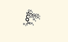 CC1=NC(=Cc2ccc(N(C)C)cc2)C(=O)N1CC(=O)OC(C)(C)C